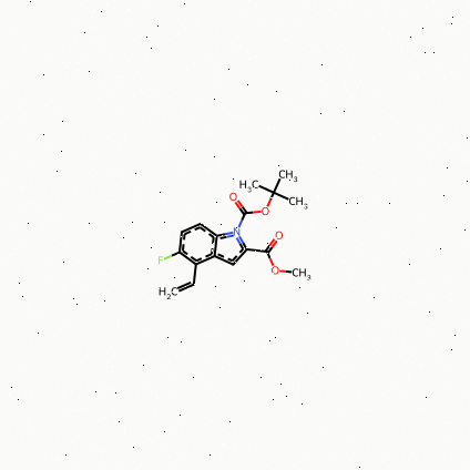 C=Cc1c(F)ccc2c1cc(C(=O)OC)n2C(=O)OC(C)(C)C